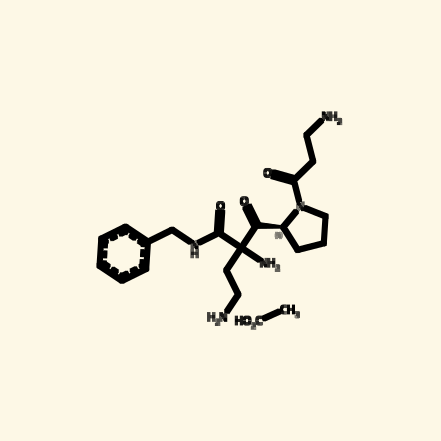 CC(=O)O.NCCC(=O)N1CCC[C@H]1C(=O)C(N)(CCN)C(=O)NCc1ccccc1